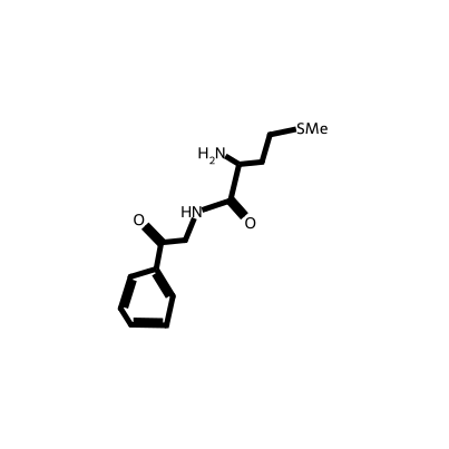 CSCCC(N)C(=O)NCC(=O)c1ccccc1